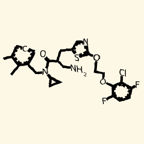 Cc1cccc(CN(C(=O)C(CN)Cc2cnc(OCCOc3c(F)ccc(F)c3Cl)s2)C2CC2)c1C